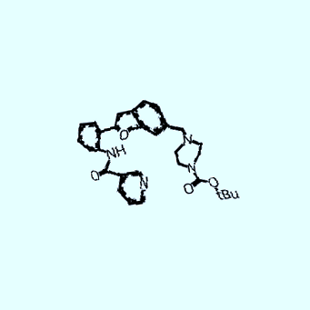 CC(C)(C)OC(=O)N1CCN(Cc2ccc3cc(-c4ccccc4NC(=O)c4cccnc4)oc3c2)CC1